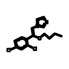 CCCCO/C(=C\n1ccnc1)c1ccc(Cl)cc1Cl